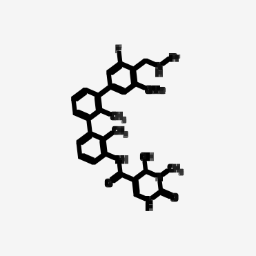 COc1cc(-c2cccc(-c3cccc(NC(=O)C4=CNC(=O)N(C)C4O)c3C)c2C)cc(F)c1CNC(C)C